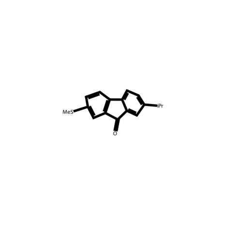 CSc1ccc2c(c1)C(=O)c1cc(C(C)C)ccc1-2